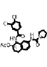 CC(=O)O[C@@H]1CCc2ccc(NC(=O)N3CCCC3)cc2[C@H]1NC(=O)c1ccc(Cl)c(Cl)c1